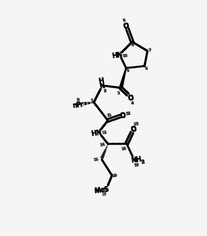 CCC[C@H](NC(=O)[C@@H]1CCC(=O)N1)C(=O)N[C@@H](CCSC)C(N)=O